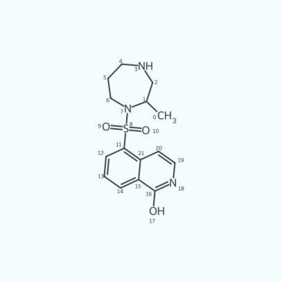 CC1CNCCCN1S(=O)(=O)c1cccc2c(O)nccc12